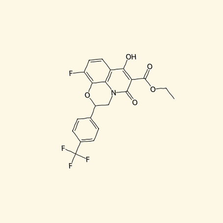 CCOC(=O)c1c(O)c2ccc(F)c3c2n(c1=O)CC(c1ccc(C(F)(F)F)cc1)O3